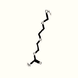 [3H]C(=O)OCCOCCOCC